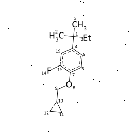 CCC(C)(C)c1ccc(OCC2CC2)c(F)c1